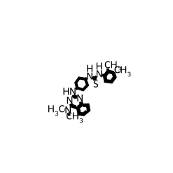 Cc1cccc(NC(=S)NC2CCC(Nc3nc(N(C)C)c4ccccc4n3)CC2)c1C